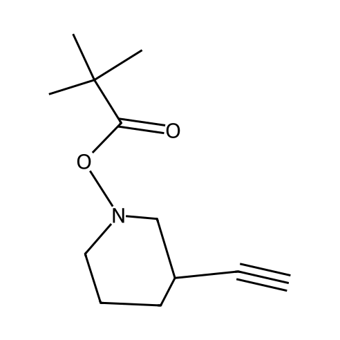 C#CC1CCCN(OC(=O)C(C)(C)C)C1